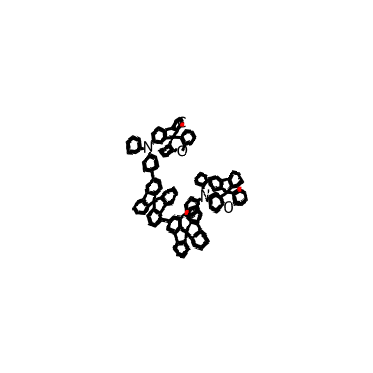 c1ccc(N(c2ccc(-c3cc(-c4cccc5c4-c4ccccc4C54c5ccccc5-c5cc(-c6ccc(N(c7ccccc7)c7ccc8c(c7)C7(c9ccccc9Oc9ccccc97)c7ccccc7-8)cc6)ccc54)cc4c3C3(c5ccccc5-c5ccccc53)c3ccccc3-4)cc2)c2ccc3c(c2)C2(c4ccccc4O3)c3ccccc3-c3ccccc32)cc1